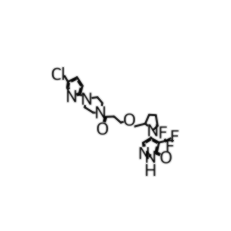 O=C(CCOCC1CCCN1c1cn[nH]c(=O)c1C(F)(F)F)N1CCN(c2ccc(Cl)cn2)CC1